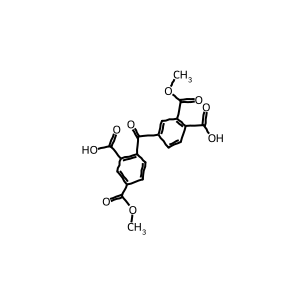 COC(=O)c1ccc(C(=O)c2ccc(C(=O)O)c(C(=O)OC)c2)c(C(=O)O)c1